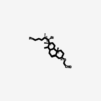 CC[C@@H]([C@@H](C)CCCC(C)C)[C@]1(C)CCC2C(CC=C3C[C@H](OCC=O)CC[C@]32C)C1C